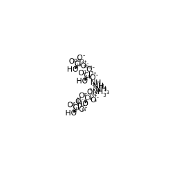 N.N.N.N.[O-][Cl+3]([O-])([O-])O.[O-][Cl+3]([O-])([O-])O.[O-][Cl+3]([O-])([O-])O.[O-][Cl+3]([O-])([O-])O